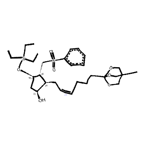 CC[Si](CC)(CC)O[C@@H]1C[C@H](O)[C@H](C/C=C\CCCC23OCC(C)(CO2)CO3)[C@H]1CS(=O)(=O)c1ccccc1